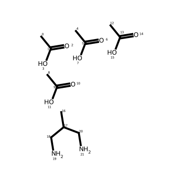 CC(=O)O.CC(=O)O.CC(=O)O.CC(=O)O.CC(CN)CN